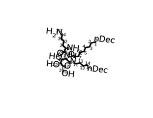 CCCCCCCCCCCCCCCCCC(=O)N(CCCCCCCCCCCCCC)[C@@H]1O[C@H](CO)[C@@H](O)[C@H](O)[C@H]1NC(=O)[C@@H](N)CCCCN